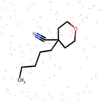 CCCCCC1(C#N)CCOCC1